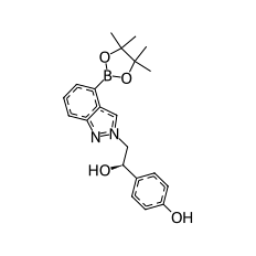 CC1(C)OB(c2cccc3nn(C[C@H](O)c4ccc(O)cc4)cc23)OC1(C)C